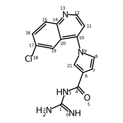 N=C(N)NC(=O)c1ccn(-c2ccnc3ccc(Cl)cc23)c1